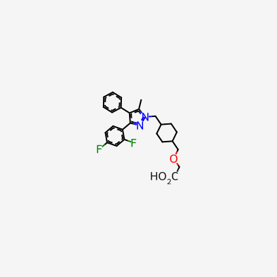 Cc1c(-c2ccccc2)c(-c2ccc(F)cc2F)nn1CC1CCC(COCC(=O)O)CC1